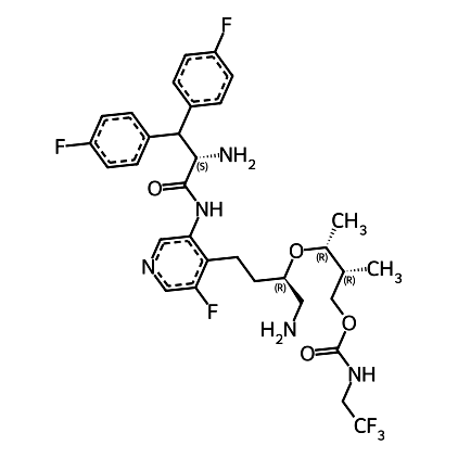 C[C@H](COC(=O)NCC(F)(F)F)[C@@H](C)O[C@@H](CN)CCc1c(F)cncc1NC(=O)[C@@H](N)C(c1ccc(F)cc1)c1ccc(F)cc1